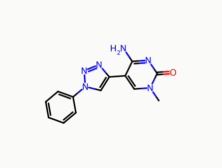 Cn1cc(-c2cn(-c3ccccc3)nn2)c(N)nc1=O